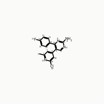 Cc1cc(-c2cnc(N)nc2-c2ccc(F)cc2)cc(Cl)n1